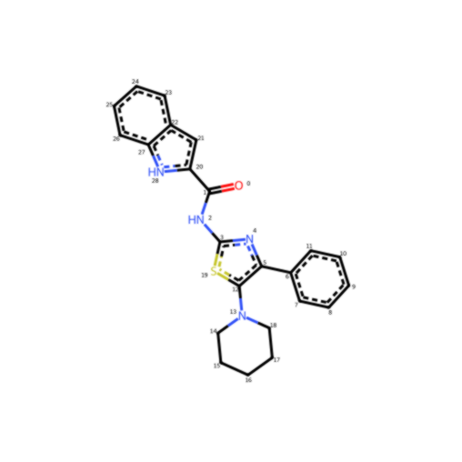 O=C(Nc1nc(-c2ccccc2)c(N2CCCCC2)s1)c1cc2ccccc2[nH]1